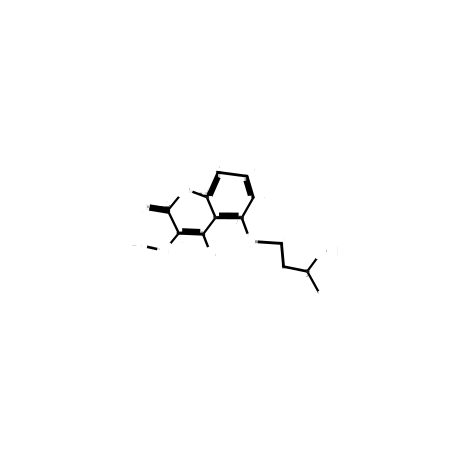 CCOc1c(O)c2c(OCCC(C)O)cccc2oc1=O